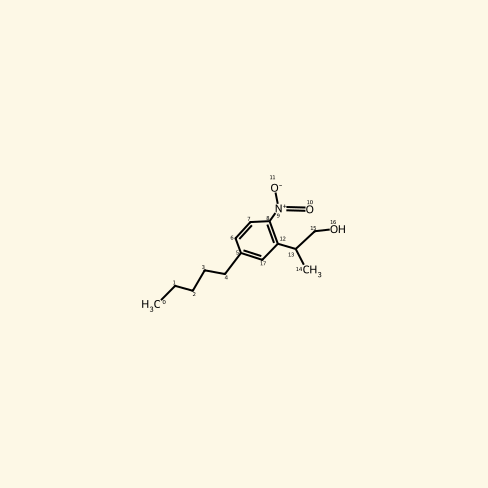 CCCCCc1ccc([N+](=O)[O-])c(C(C)CO)c1